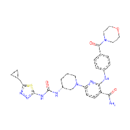 NC(=O)c1ccc(N2CCC[C@@H](NC(=O)Nc3nnc(C4CC4)s3)C2)nc1Nc1ccc(C(=O)N2CCOCC2)cc1